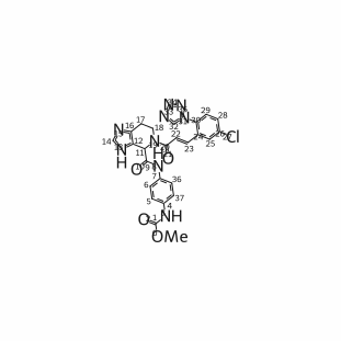 COC(=O)Nc1ccc(NC(=O)C2c3[nH]cnc3CCN2C(=O)/C=C/c2cc(Cl)ccc2-n2cnnn2)cc1